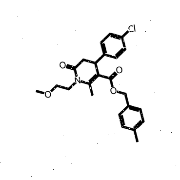 COCCN1C(=O)CC(c2ccc(Cl)cc2)C(C(=O)OCc2ccc(C)cc2)=C1C